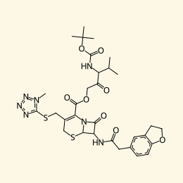 CC(C)C(NC(=O)OC(C)(C)C)C(=O)COC(=O)C1=C(CSc2nnnn2C)CSC2C(NC(=O)Cc3ccc4c(c3)CCO4)C(=O)N12